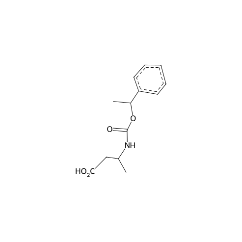 CC(CC(=O)O)NC(=O)OC(C)c1ccccc1